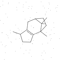 CC1CCC2=C1CC1CCC2(C)C1(C)C